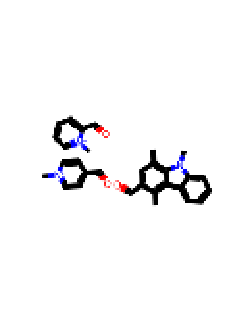 C[n+]1ccc(C=O)cc1.C[n+]1ccccc1C=O.Cc1c(C=O)cc(C)c2c1c1ccccc1n2C